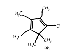 CC1=C(C)C(C)(C)C(Cl)=C1C.[Rh]